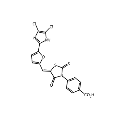 O=C(O)c1ccc(N2C(=O)C(=Cc3ccc(-c4nc(Cl)c(Cl)[nH]4)o3)SC2=S)cc1